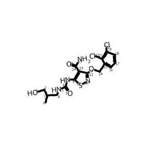 CC(CO)CNC(=O)Nc1snc(OCc2cccc(Cl)c2Cl)c1C(N)=O